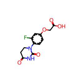 O=C(O)COc1ccc(N2CCC(=O)NC2=O)c(F)c1